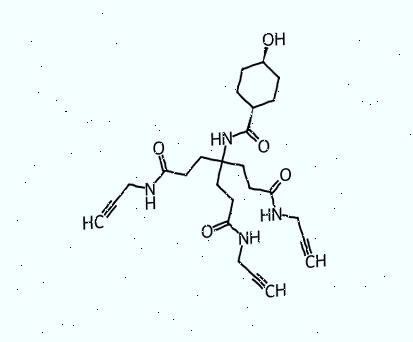 C#CCNC(=O)CCC(CCC(=O)NCC#C)(CCC(=O)NCC#C)NC(=O)[C@H]1CC[C@@H](O)CC1